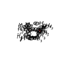 CC[C@H]1OC(=O)[C@H](C)[C@@H](O[C@H]2C[C@@](C)(OC)[C@@H](O)[C@H](C)O2)[C@H](C)[C@@H](O[C@@H]2O[C@H](C)C[C@H](N(C)C)[C@H]2O)[C@](C)(OC)C[C@@H](C)C(=O)[C@H](C)[C@@H](O)[C@]1(C)O.CO